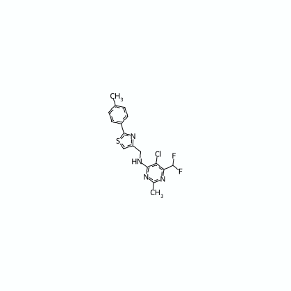 Cc1ccc(-c2nc(CNc3nc(C)nc(C(F)F)c3Cl)cs2)cc1